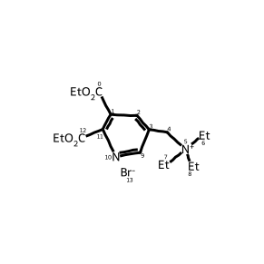 CCOC(=O)c1cc(C[N+](CC)(CC)CC)cnc1C(=O)OCC.[Br-]